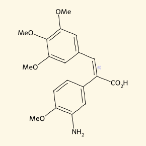 COc1ccc(/C(=C\c2cc(OC)c(OC)c(OC)c2)C(=O)O)cc1N